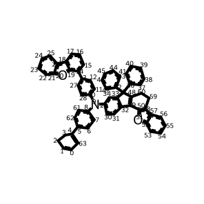 C1=CCCC(c2ccc(N(c3ccc(-c4cccc5c4oc4ccccc45)cc3)c3ccc4c(c3)C(c3ccccc3)(c3ccccc3)C3=C4c4oc5ccccc5c4CC3)cc2)=C1